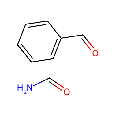 NC=O.O=Cc1ccccc1